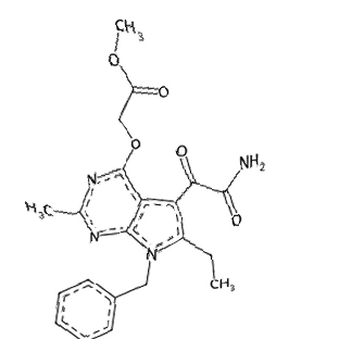 CCc1c(C(=O)C(N)=O)c2c(OCC(=O)OC)nc(C)nc2n1Cc1ccccc1